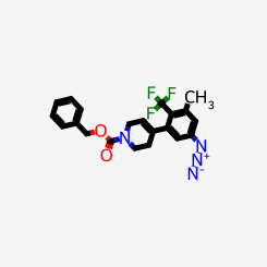 Cc1cc(N=[N+]=[N-])cc(C2=CCN(C(=O)OCc3ccccc3)CC2)c1C(F)(F)F